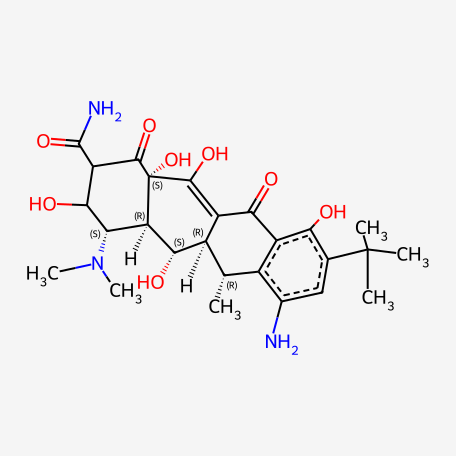 C[C@H]1c2c(N)cc(C(C)(C)C)c(O)c2C(=O)C2=C(O)[C@]3(O)C(=O)C(C(N)=O)C(O)[C@@H](N(C)C)[C@@H]3[C@@H](O)[C@@H]21